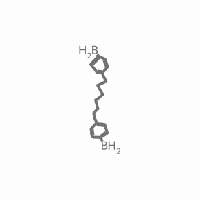 Bc1ccc(CCCCCCc2ccc(B)cc2)cc1